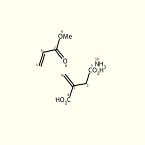 C=C(CC(=O)O)C(=O)O.C=CC(=O)OC.N